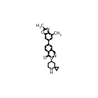 Cc1nc2c(C)cc(-c3ccc4c(=O)n(C5CCNC6(CC6)C5)ncc4c3)cc2o1